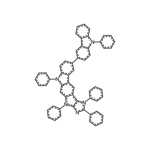 c1ccc(-c2nc3c(c4cc5c6cc(-c7ccc8c(c7)c7ccccc7n8-c7ccccc7)ccc6n(-c6ccccc6)c5cc4n3-c3ccccc3)n2-c2ccccc2)cc1